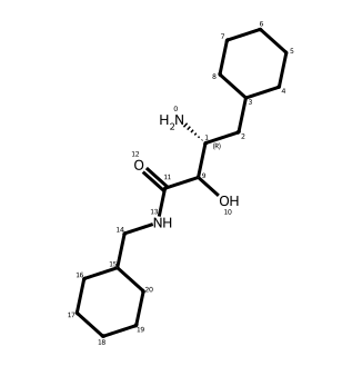 N[C@H](CC1CCCCC1)C(O)C(=O)NCC1CCCCC1